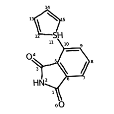 O=C1NC(=O)c2c1cccc2[SH]1C=CC=C1